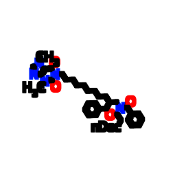 CCCCCCCCCCCCN(CC(CCCCCCCCCn1c(=O)c2c(ncn2C)n(C)c1=O)C(=O)c1ccccc1)C(=O)c1ccccc1